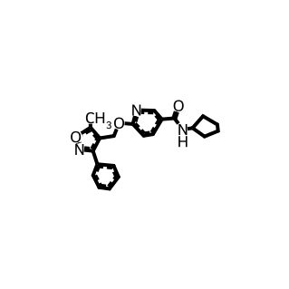 Cc1onc(-c2ccccc2)c1COc1ccc(C(=O)NC2CCCC2)cn1